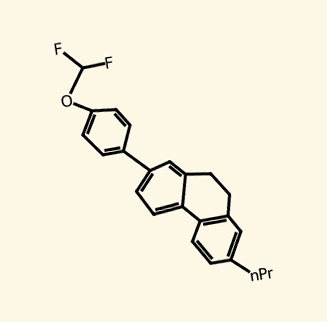 CCCc1ccc2c(c1)CCc1cc(-c3ccc(OC(F)F)cc3)ccc1-2